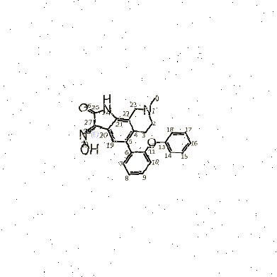 CN1CCc2c(-c3ccccc3Oc3ccccc3)cc3c(c2C1)NC(=O)/C3=N/O